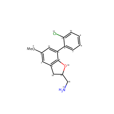 COc1cc2c(c(-c3ccccc3Cl)c1)OC(CN)C2